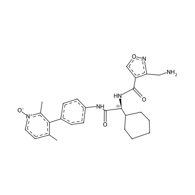 Cc1cc[n+]([O-])c(C)c1-c1ccc(NC(=O)[C@@H](NC(=O)c2conc2CN)C2CCCCC2)cc1